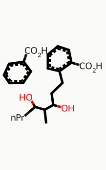 CCCC(O)C(C)C(O)CCc1ccccc1C(=O)O.O=C(O)c1ccccc1